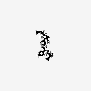 N#CC1([C@H](NC(=O)C(F)(F)CC2CC2)c2cnn3cc([C@@H](NC(=O)c4nonc4C4CC4)C4CCC(F)(F)CC4)nc3c2)CC1